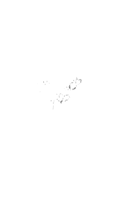 COCCO[C@H]1CC[C@H](Nc2nc(OC)c3c(-c4ccn5nccc5c4)ccn3n2)CC1